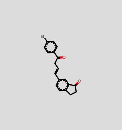 CCc1ccc(C(=O)CC=Cc2ccc3c(c2)C(=O)CC3)cc1